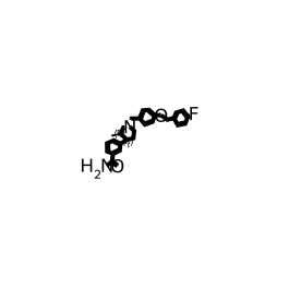 C[C@H]1CN(Cc2ccc(OCc3ccc(F)cc3)cc2)CC[C@@]1(C)c1cccc(C(N)=O)c1